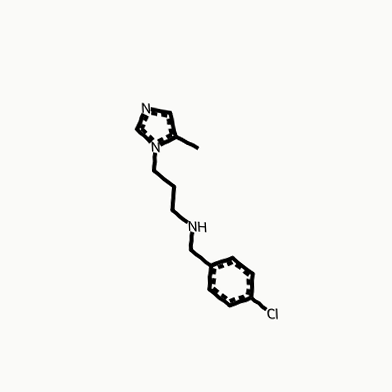 Cc1cncn1CCCNCc1ccc(Cl)cc1